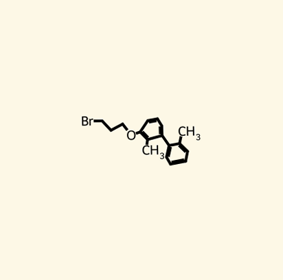 Cc1ccccc1-c1cccc(OCCCBr)c1C